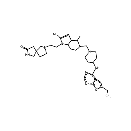 CC1C(CN2CCC(Nc3ncnc4sc(CC(F)(F)F)cc34)CC2)CCC2C1C=C(C#N)N2CCN1CCC2(CNC(=O)C2)C1